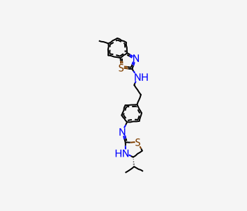 Cc1ccc2nc(NCCc3ccc(/N=C4/N[C@@H](C(C)C)CS4)cc3)sc2c1